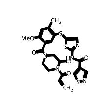 C=CC(=O)N1CCN(C(=O)c2cc(Sc3cnc(NC(=O)c4cnsc4)s3)c(C)cc2OC)CC1CC